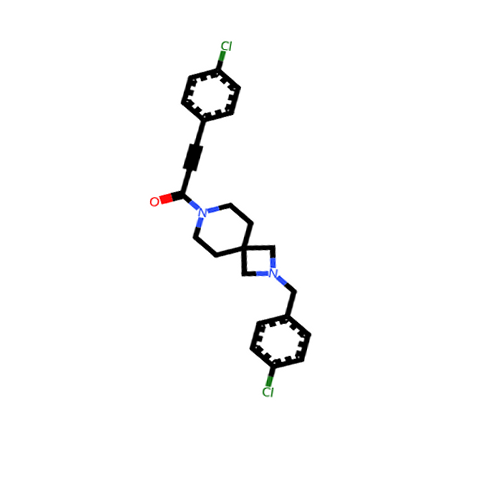 O=C(C#Cc1ccc(Cl)cc1)N1CCC2(CC1)CN(Cc1ccc(Cl)cc1)C2